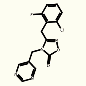 O=c1onc(Cc2c(F)cccc2Cl)n1Cc1cncnc1